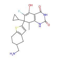 CC1c2[nH]c(=O)[nH]c(=O)c2C(O)=C(F)C1(c1cc2c(s1)CCC(CN)C2)C1CC1